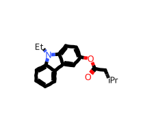 CCn1c2ccccc2c2cc(OC(=O)CC(C)C)ccc21